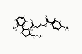 Cc1ccc(C(=O)SCCC(=O)N2C(C(=O)O)CCC2c2ccccc2O)cc1